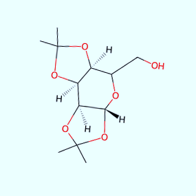 CC1(C)O[C@H]2OC(CO)[C@@H]3OC(C)(C)O[C@@H]3[C@@H]2O1